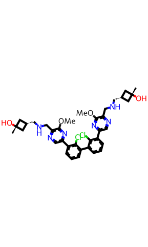 COc1nc(-c2cccc(-c3cccc(-c4cnc(CNC[C@H]5C[C@@](C)(O)C5)c(OC)n4)c3Cl)c2Cl)cnc1CNC[C@H]1C[C@@](C)(O)C1